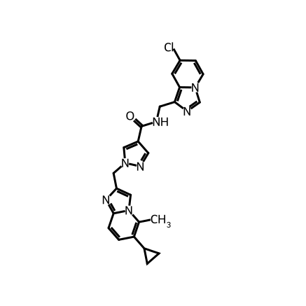 Cc1c(C2CC2)ccc2nc(Cn3cc(C(=O)NCc4ncn5ccc(Cl)cc45)cn3)cn12